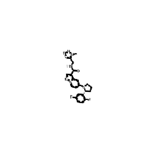 Cn1nnnc1CNC(=O)c1cnn2ccc(N3CCC[C@@H]3c3cc(F)ccc3F)cc12